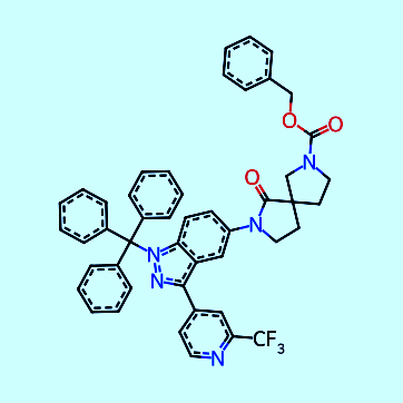 O=C(OCc1ccccc1)N1CCC2(CCN(c3ccc4c(c3)c(-c3ccnc(C(F)(F)F)c3)nn4C(c3ccccc3)(c3ccccc3)c3ccccc3)C2=O)C1